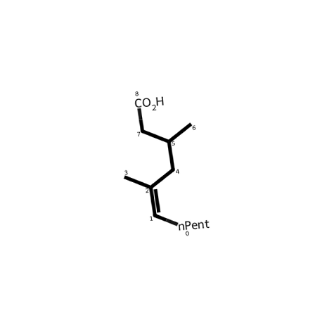 CCCCCC=C(C)CC(C)CC(=O)O